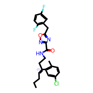 CCC/C=C(/CCNC(=O)c1noc(Cc2cc(F)ccc2F)n1)c1cc(Cl)ccc1C